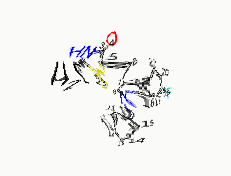 C=c1[nH]c(=O)/c(=C/c2cn(-c3ccccc3)c3cc(F)ccc23)s1